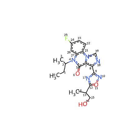 CCC(C)n1c(=O)c2c(-c3noc(C(C)CO)n3)ncn2c2ccc(F)cc21